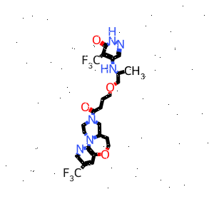 CC(COCCCC(=O)N1CCN2c3ncc(C(F)(F)F)cc3OCCC2C1)Nc1cn[nH]c(=O)c1C(F)(F)F